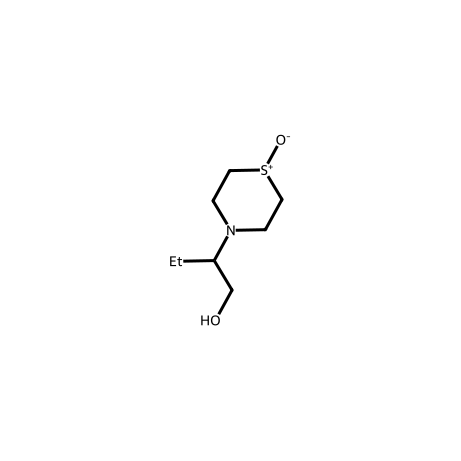 CCC(CO)N1CC[S+]([O-])CC1